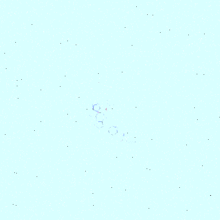 CNC(=O)Nc1ccc(-c2cnn3c(N)c(C(C)=O)c(C4CC5CC[C@@H](C4)N5C(=O)c4ncnn4COCC[Si](C)(C)C)nc23)cn1